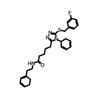 O=C(CCCCc1nnc(SCc2cccc(F)c2)n1C1C=CC=CC1)NCCC1=CC=CCC1